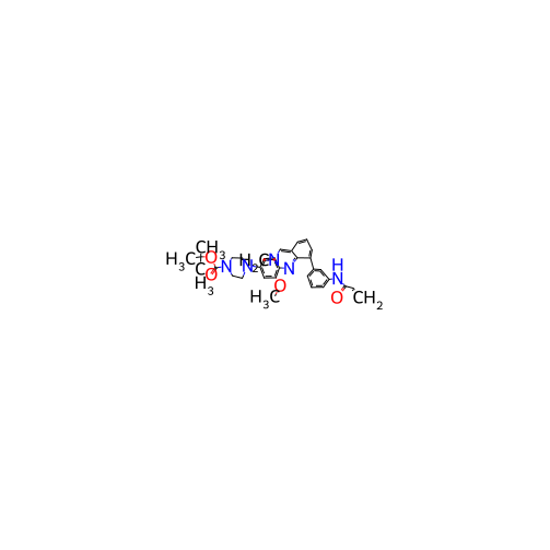 C=CC(=O)Nc1cccc(C2=CC=CC(=C/N=C)/C2=N\c2ccc(N3CCN(C(=O)OC(C)(C)C)CC3)cc2OC)c1